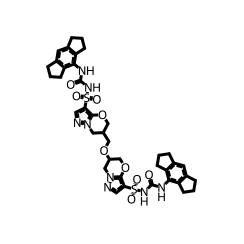 O=C(Nc1c2c(cc3c1CCC3)CCC2)NS(=O)(=O)c1cnn2c1OCC(COC1COc3c(S(=O)(=O)NC(=O)Nc4c5c(cc6c4CCC6)CCC5)cnn3C1)C2